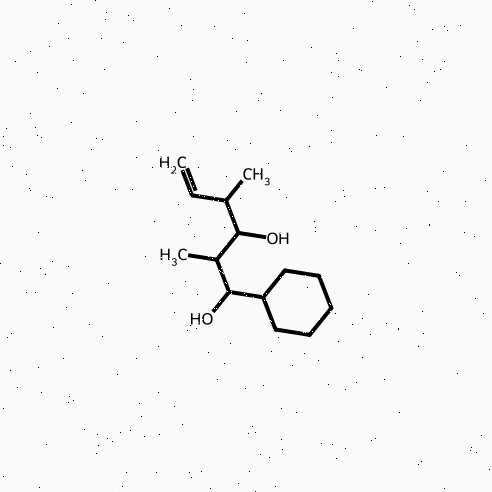 C=CC(C)C(O)C(C)C(O)C1CCCCC1